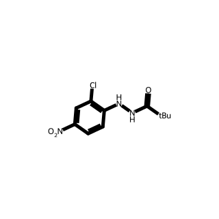 CC(C)(C)C(=O)NNc1ccc([N+](=O)[O-])cc1Cl